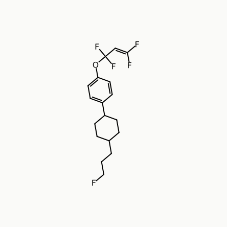 FCCCC1CCC(c2ccc(OC(F)(F)C=C(F)F)cc2)CC1